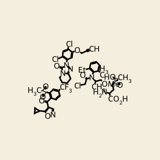 C#CCOc1cc(-n2nc3n(c2=O)CCCC3)c(Cl)cc1Cl.CCc1cccc(C)c1N(C(=O)CCl)C(C)COC.CP(=O)(O)CCC(N)C(=O)O.CS(=O)(=O)c1cc(C(F)(F)F)ccc1C(=O)c1cnoc1C1CC1